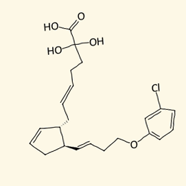 O=C(O)C(O)(O)CCC=CC[C@H]1C=CC[C@@H]1C=CCCOc1cccc(Cl)c1